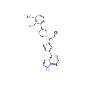 N#CCC(C1CCN(c2nccc(C#N)c2C#N)C1)n1cc(-c2ncnc3[nH]ccc23)cn1